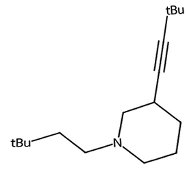 CC(C)(C)C#CC1CCCN(CCC(C)(C)C)C1